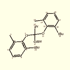 COC(Oc1c(C)cccc1C(C)(C)C)(Oc1c(C)cccc1C(C)(C)C)C(C)C